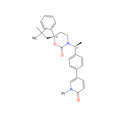 CC(C)n1cc(-c2ccc([C@H](C)N3CC[C@@](CC(C)(C)C#N)(c4ccccc4)OC3=O)cc2)ccc1=O